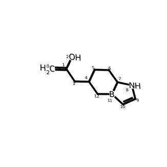 C=C(O)CC1CCC2NC=CB2C1